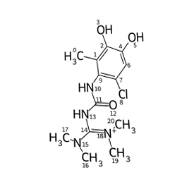 Cc1c(O)c(O)cc(Cl)c1NC(=O)NC(N(C)C)=[N+](C)C